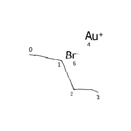 CCCC.[Au+].[Br-]